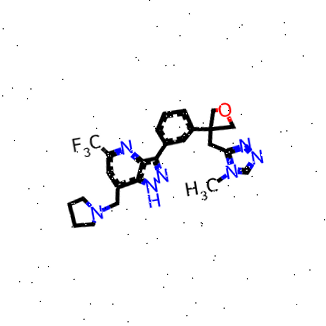 Cn1cnnc1CC1(c2cccc(-c3n[nH]c4c(CN5CCCC5)cc(C(F)(F)F)nc34)c2)COC1